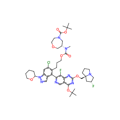 CN(C(=O)OCCCc1c(Cl)cc2c(cnn2C2CCCCO2)c1-c1ncc2c(OC(C)(C)C)nc(OC[C@@]34CCCN3C[C@H](F)C4)nc2c1F)[C@@H]1COCCN(C(=O)OC(C)(C)C)C1